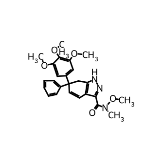 COc1cc(C2(c3ccccc3)C=Cc3c(C(=O)N(C)OC)n[nH]c3C2)cc(OC)c1OC